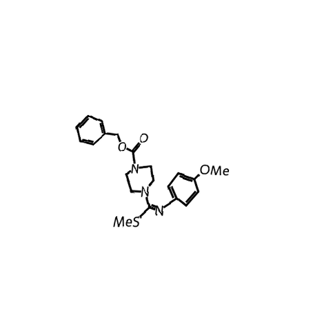 COc1ccc(N=C(SC)N2CCN(C(=O)OCc3ccccc3)CC2)cc1